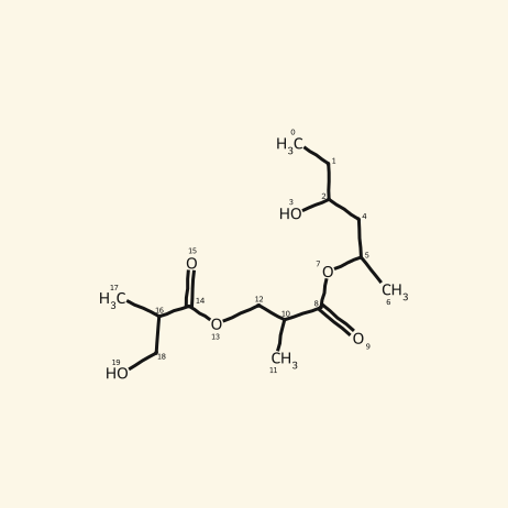 CCC(O)CC(C)OC(=O)C(C)COC(=O)C(C)CO